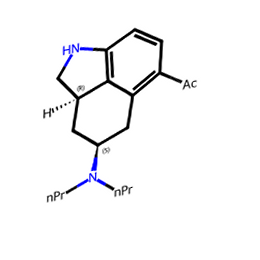 CCCN(CCC)[C@@H]1Cc2c(C(C)=O)ccc3c2[C@H](CN3)C1